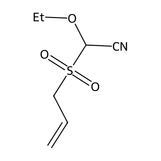 C=CCS(=O)(=O)C(C#N)OCC